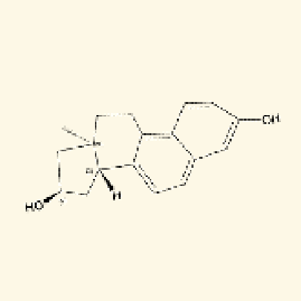 C[C@]12CCc3c(ccc4cc(O)ccc34)[C@@H]1C[C@@H](O)C2